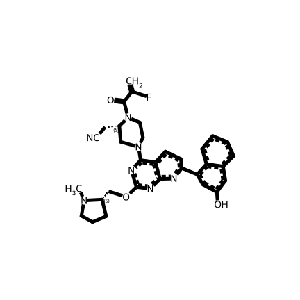 C=C(F)C(=O)N1CCN(c2nc(OC[C@@H]3CCCN3C)nc3nc(-c4cc(O)cc5ccccc45)ccc23)C[C@@H]1CC#N